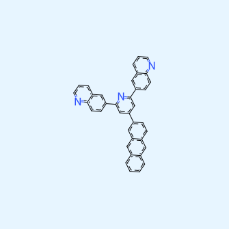 c1ccc2cc3cc(-c4cc(-c5ccc6ncccc6c5)nc(-c5ccc6ncccc6c5)c4)ccc3cc2c1